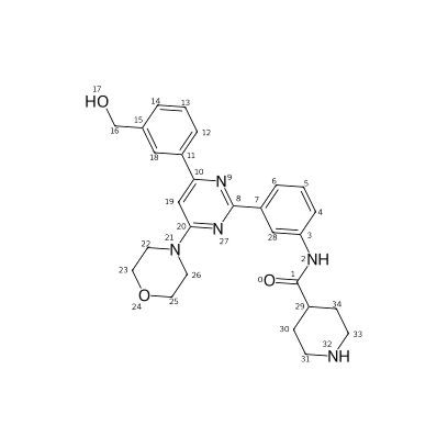 O=C(Nc1cccc(-c2nc(-c3cccc(CO)c3)cc(N3CCOCC3)n2)c1)C1CCNCC1